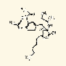 CCCCCC(=O)O[C@](Cc1ccc(OC(C)=O)c(OC(C)=O)c1)(NC(C)CC)C(=O)O